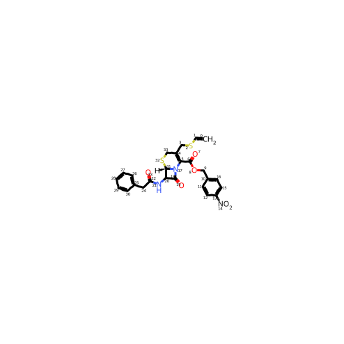 C=CSCC1=C(C(=O)OCc2ccc([N+](=O)[O-])cc2)N2C(=O)C(NC(=O)Cc3ccccc3)[C@@H]2SC1